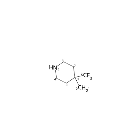 [CH2]C1(C(F)(F)F)CCNCC1